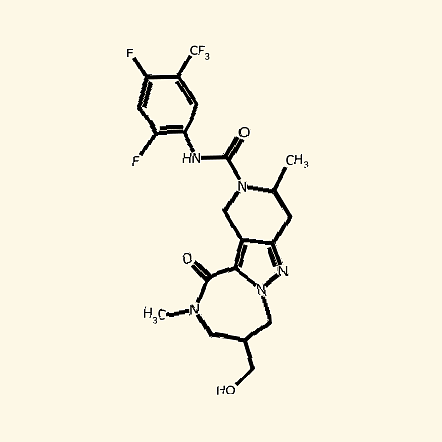 CC1Cc2nn3c(c2CN1C(=O)Nc1cc(C(F)(F)F)c(F)cc1F)C(=O)N(C)CC(CO)C3